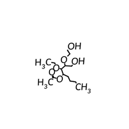 CCCCC(OC(C)=O)C(OCC)C(CO)OCCO